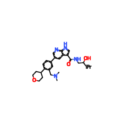 CC(C)C(O)CNC(=O)c1c[nH]c2ncc(-c3ccc(C4CCOCC4)c(CN(C)C)c3)cc12